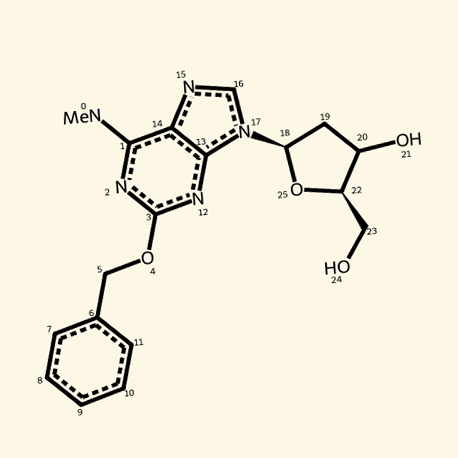 CNc1nc(OCc2ccccc2)nc2c1ncn2[C@H]1CC(O)[C@@H](CO)O1